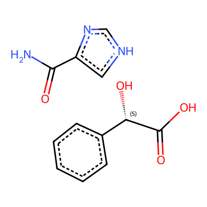 NC(=O)c1c[nH]cn1.O=C(O)[C@@H](O)c1ccccc1